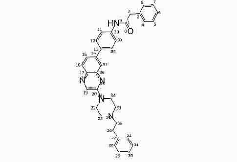 O=C(Cc1ccccc1)Nc1ccc(-c2ccc3ncc(N4CCN(CCc5ccccc5)CC4)nc3c2)cc1